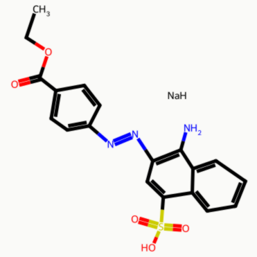 CCOC(=O)c1ccc(N=Nc2cc(S(=O)(=O)O)c3ccccc3c2N)cc1.[NaH]